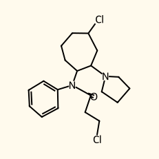 O=C(CCCl)N(c1ccccc1)C1CCCC(Cl)CC1N1CCCC1